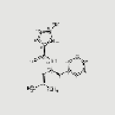 CC(C)=C[C@H](Cc1ccccc1)NC(=O)c1csc(Br)n1